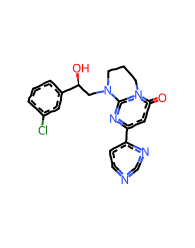 O=c1cc(-c2ccncn2)nc2n1CCCN2C[C@H](O)c1cccc(Cl)c1